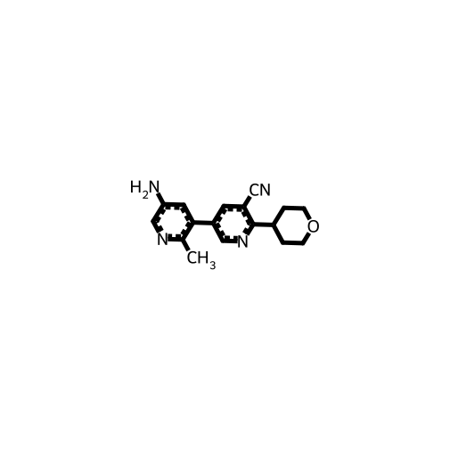 Cc1ncc(N)cc1-c1cnc(C2CCOCC2)c(C#N)c1